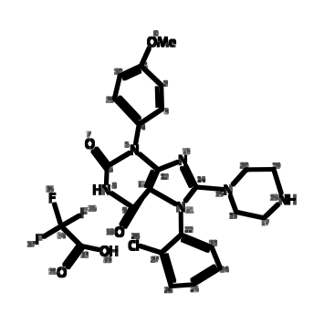 COc1ccc(-n2c(=O)[nH]c(=O)c3c2nc(N2CCNCC2)n3-c2ccccc2Cl)cc1.O=C(O)C(F)(F)F